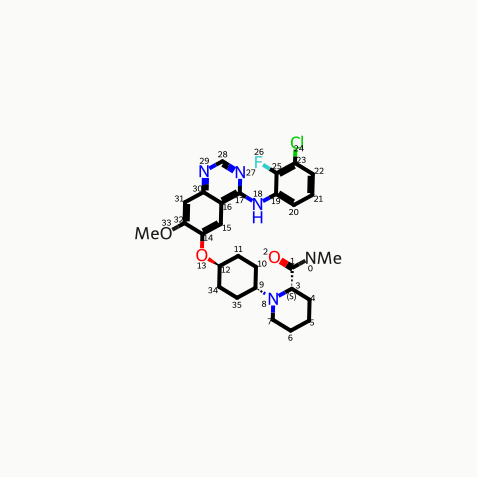 CNC(=O)[C@@H]1CCCCN1[C@H]1CC[C@H](Oc2cc3c(Nc4cccc(Cl)c4F)ncnc3cc2OC)CC1